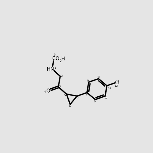 O=C(O)NCC(=O)C1CC1c1ccc(Cl)cc1